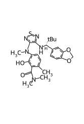 Cc1ccc(N(C)c2nsnc2N[C@@H](c2ccc3c(c2)OCO3)C(C)(C)C)c(O)c1C(=O)N(C)C